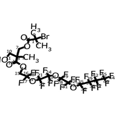 CC(C)(Br)C(=O)OCC(C)(CO)C(=O)OCC(F)(F)OC(F)(F)C(F)(F)OC(F)(F)C(F)(F)OC(F)(F)C(F)(F)C(F)(F)C(F)(F)F